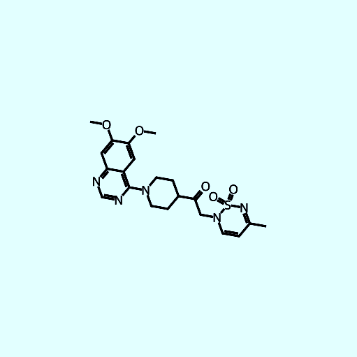 COc1cc2ncnc(N3CCC(C(=O)CN4C=CC(C)=NS4(=O)=O)CC3)c2cc1OC